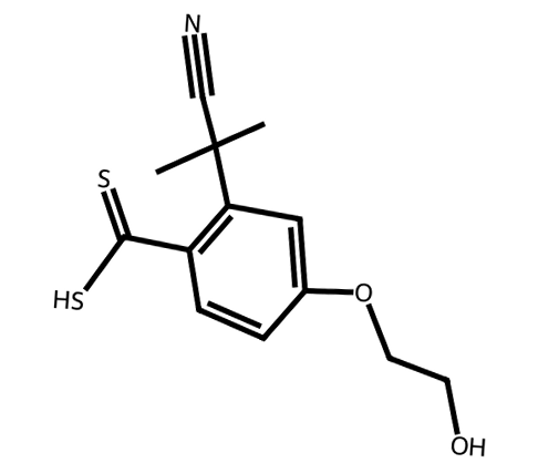 CC(C)(C#N)c1cc(OCCO)ccc1C(=S)S